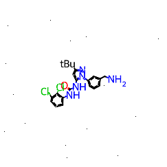 CC(C)(C)c1cc(NC(=O)Nc2cccc(Cl)c2Cl)n(-c2cccc(CN)c2)n1